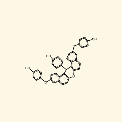 Oc1ccc(Oc2ccc3c4c(ccc3c2)Oc2ccc3cc(Oc5ccc(O)cc5)ccc3c2C4c2ccc(O)cc2)cc1